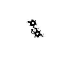 Cc1cccc(N2COc3ccc(Cl)cc3C2)c1